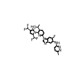 Cc1ccc(Nc2cc3ncn(-c4ccc(C(C)O)c(-n5nc(C(F)F)cc5C(F)F)n4)c3cc2F)nn1